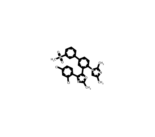 Cc1cn(-c2ccc(-c3cccc(S(C)(=O)=O)c3)cc2-c2oc(C)nc2-c2ccc(Cl)cc2Cl)c(C)n1